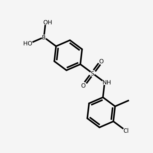 Cc1c(Cl)cccc1NS(=O)(=O)c1ccc(B(O)O)cc1